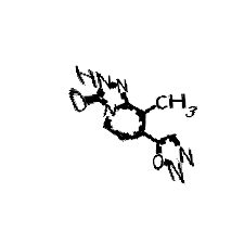 Cc1c(-c2cnno2)ccn2c(=O)[nH]nc12